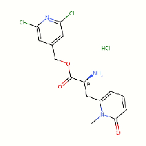 Cl.Cn1c(C[C@H](N)C(=O)OCc2cc(Cl)nc(Cl)c2)cccc1=O